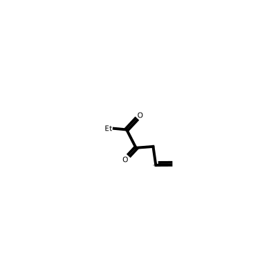 C=[C]CC(=O)C(=O)CC